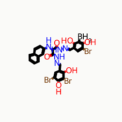 Bc1c(O)c(Br)cc(/C=N/NC(=O)C(Nc2ccc3ccccc3c2)C(=O)N/N=C/c2cc(Br)c(O)c(Br)c2O)c1O